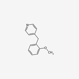 COc1ccccc1Cc1ccncc1